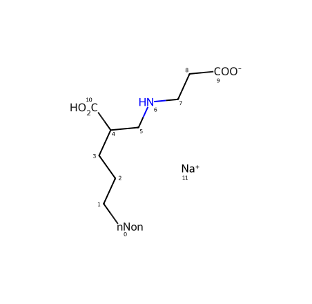 CCCCCCCCCCCCC(CNCCC(=O)[O-])C(=O)O.[Na+]